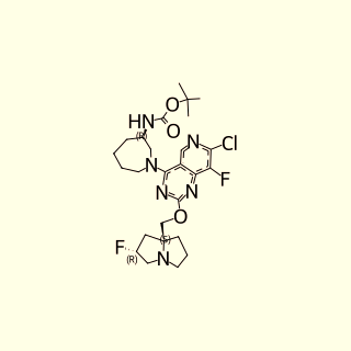 CC(C)(C)OC(=O)N[C@@H]1CCCCN(c2nc(OC[C@@]34CCCN3C[C@H](F)C4)nc3c(F)c(Cl)ncc23)C1